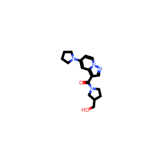 O=C(c1cnn2ccc(N3CCCC3)cc12)N1CCC(CO)C1